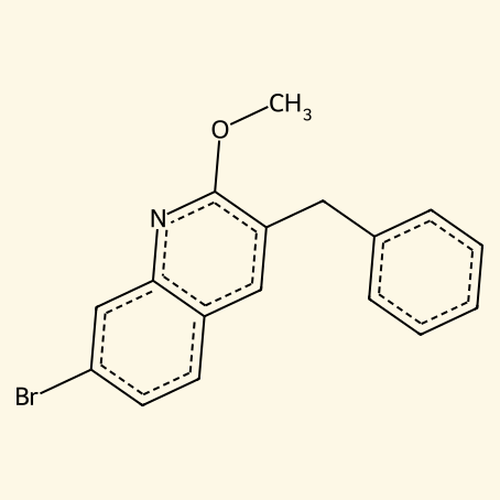 COc1nc2cc(Br)ccc2cc1Cc1ccccc1